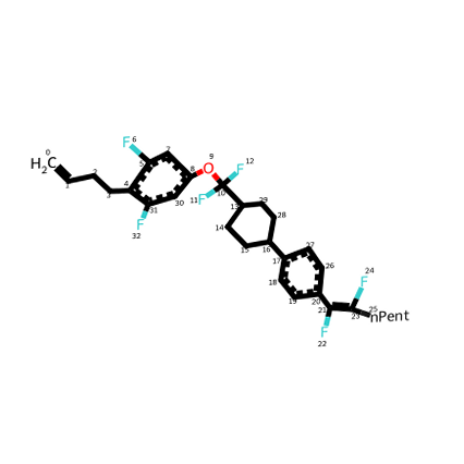 C=CCCc1c(F)cc(OC(F)(F)C2CCC(c3ccc(/C(F)=C(\F)CCCCC)cc3)CC2)cc1F